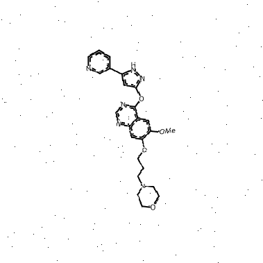 COc1cc2c(Oc3cc(-c4cccnc4)[nH]n3)ncnc2cc1OCCCN1CCOCC1